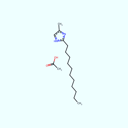 CC(=O)O.CCCCCCCCCCCc1nc(C)c[nH]1